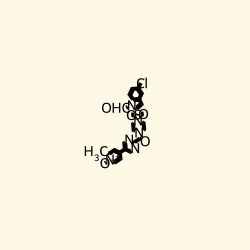 Cc1cc(-c2cnc(C(=O)N3CCN(S(=O)(=O)c4cc5cc(Cl)ccc5n4C=O)CC3)nc2)cc[n+]1[O-]